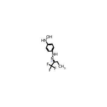 CC/C(=N\Nc1ccc(NO)cc1)C(F)(F)F